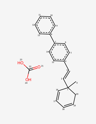 CC1(C=Cc2ccc(-c3ccccc3)cc2)C=CC=CC1.O=C(O)O